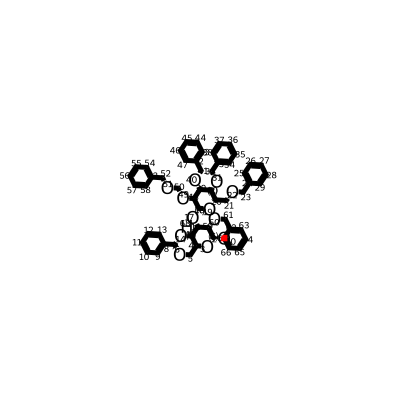 CO[C@H]1OC2COC(c3ccccc3)O[C@H]2C(O[C@H]2OC(COCc3ccccc3)[C@@H](OCc3ccccc3)C(OCc3ccccc3)C2OCOCc2ccccc2)C1OCc1ccccc1